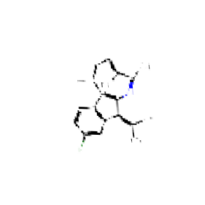 C[C@H]1C/C=C(C#N)/C(C#N)=N\C2=C1c1ccc(F)cc1C2=C(C#N)C#N